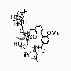 COc1ccc(C(=O)N[C@@H](CC(C)C)CN(C)C)cc1-c1cccc(CN2O[C@@H](CO)[C@H]([C@H](C)O)[C@H]2OCN[C@H]2C[C@H]3C[C@@H]([C@@H]2C)C3(C)C)c1OC